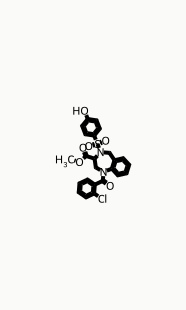 COC(=O)C1CN(C(=O)c2ccccc2Cl)c2ccccc2CN1S(=O)(=O)c1ccc(O)cc1